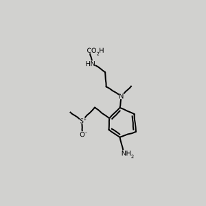 CN(CCNC(=O)O)c1ccc(N)cc1C[S+](C)[O-]